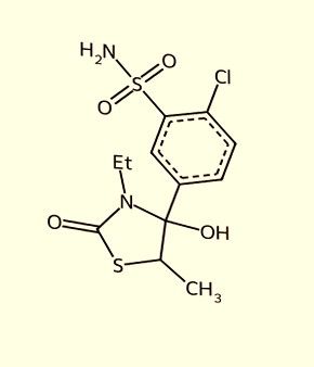 CCN1C(=O)SC(C)C1(O)c1ccc(Cl)c(S(N)(=O)=O)c1